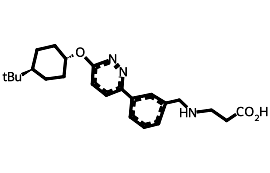 CC(C)(C)[C@H]1CC[C@H](Oc2ccc(-c3cccc(CNCCC(=O)O)c3)nn2)CC1